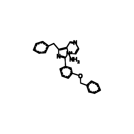 N[N+]12C=CN=CC1=C(Cc1ccccc1)N=C2c1cccc(OCc2ccccc2)c1